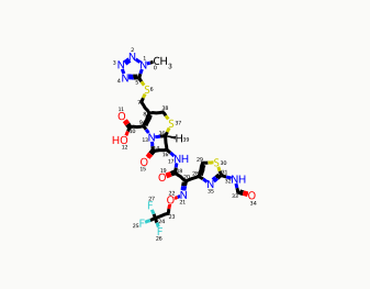 Cn1nnnc1SCC1=C(C(=O)O)N2C(=O)C(NC(=O)/C(=N\OCC(F)(F)F)c3csc(NC=O)n3)[C@H]2SC1